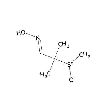 C[S+]([O-])C(C)(C)C=NO